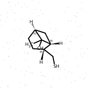 CC1(C)[C@H]2CC[C@@H](CS)[C@H]1C2